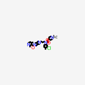 CC(=O)N1CCC(OC(=O)N(CCCN2CC3CN(C(=O)c4c(C)ccnc4C)CC3C2)c2ccc(C)c(Cl)c2)CC1